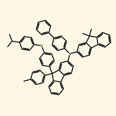 Cc1ccc(C2(c3ccc(Oc4ccc(C(C)C)cc4)cc3)c3ccccc3-c3ccc(N(c4ccc(-c5ccccc5)cc4)c4ccc5c(c4)C(C)(C)c4ccccc4-5)cc32)cc1